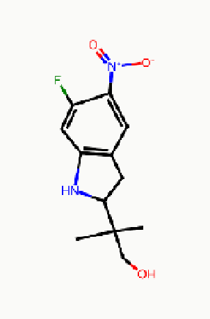 CC(C)(CO)C1Cc2cc([N+](=O)[O-])c(F)cc2N1